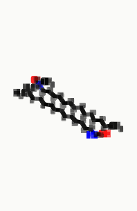 CCCCCCCCCCCCCCNO.CCCCCCCCCCCCCC[N+](C)(C)[O-]